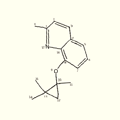 Cc1ccc2cccc(OC3(C)CC3(C)C)c2n1